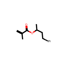 C=C(C)C(=O)OC(C)CCC(C)C